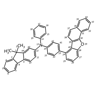 CC1(C)c2ccccc2-c2ccc(N(c3ccccc3)c3ccc(-c4cccc5oc6c7ccccc7ccc6c45)cc3)cc21